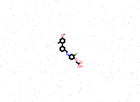 COc1ccc(-c2cccc(/C=N/c3ccc(OCC(=O)O)c(F)c3)c2)c(C)c1